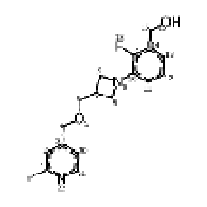 Cc1cc(COCC2CN(c3cccc(CO)c3F)C2)ccn1